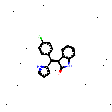 O=C1Nc2ccccc2/C1=C(\c1ccc(Cl)cc1)c1ccc[nH]1